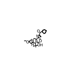 CCO[C@@H]1C[C@@H]2C(C(C)(C)C)N(C(=O)O)[C@H](c3nc(C(=O)c4ccccc4)cs3)CN2C1